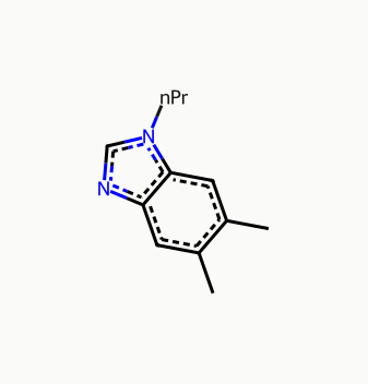 CCCn1cnc2cc(C)c(C)cc21